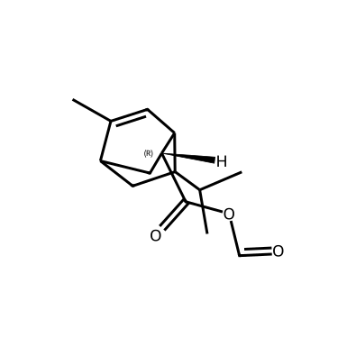 CC1=CC2C(C(C)C)CC1C[C@H]2C(=O)OC=O